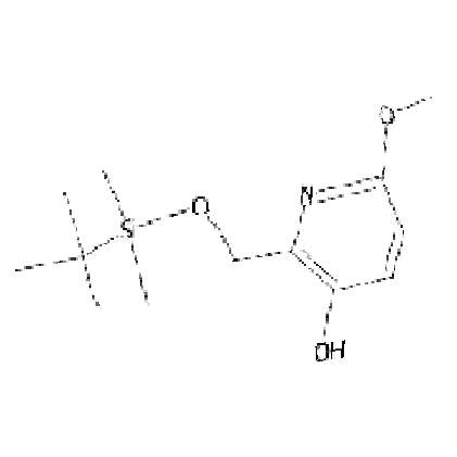 COc1ccc(O)c(CO[Si](C)(C)C(C)(C)C)n1